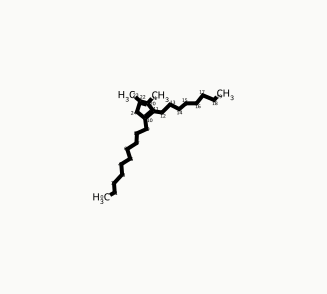 CCCCCCCCCCC1=C(CCCCCCCC)C(C)=C(C)C1